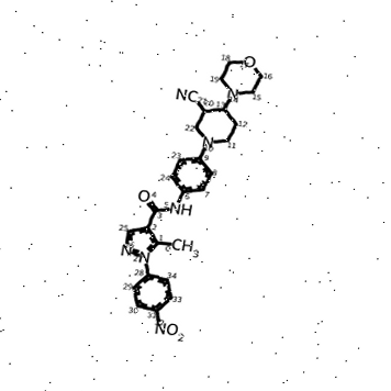 Cc1c(C(=O)Nc2ccc(N3CCC(N4CCOCC4)C(C#N)C3)cc2)cnn1-c1ccc([N+](=O)[O-])cc1